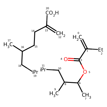 C=C(CC)C(=O)OC(C)C(C)CC(C)C.C=C(CCC(C)CC(C)C)C(=O)O